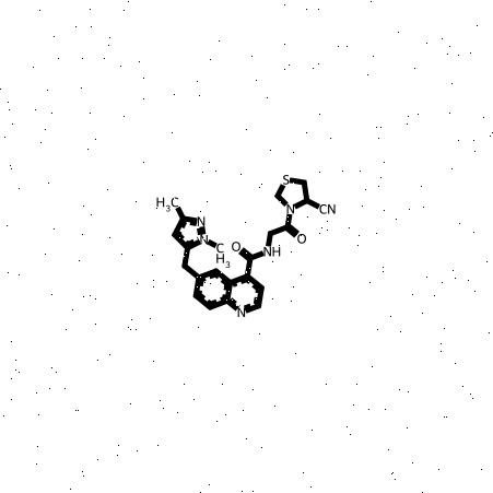 Cc1cc(Cc2ccc3nccc(C(=O)NCC(=O)N4CSCC4C#N)c3c2)n(C)n1